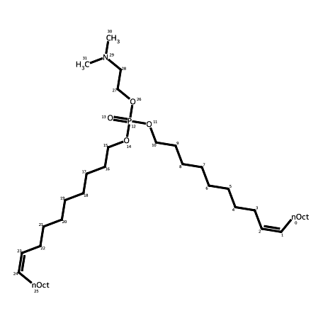 CCCCCCCC/C=C\CCCCCCCCOP(=O)(OCCCCCCCC/C=C\CCCCCCCC)OCCN(C)C